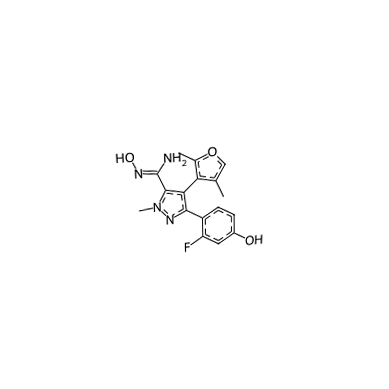 Cc1coc(C)c1-c1c(-c2ccc(O)cc2F)nn(C)c1/C(N)=N/O